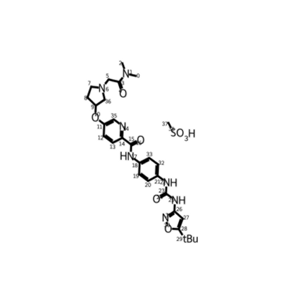 CN(C)C(=O)CN1CCC(Oc2ccc(C(=O)Nc3ccc(NC(=O)Nc4cc(C(C)(C)C)on4)cc3)nc2)C1.CS(=O)(=O)O